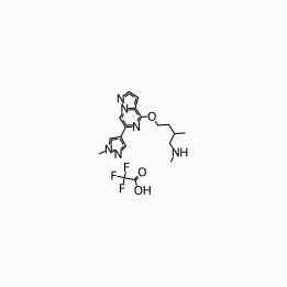 CNCC(C)CCOc1nc(-c2cnn(C)c2)cn2nccc12.O=C(O)C(F)(F)F